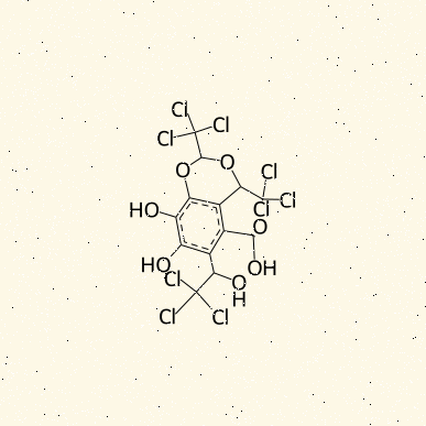 O=C(O)c1c(C(O)C(Cl)(Cl)Cl)c(O)c(O)c2c1C(C(Cl)(Cl)Cl)OC(C(Cl)(Cl)Cl)O2